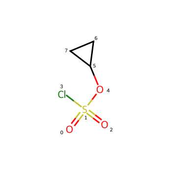 O=S(=O)(Cl)OC1CC1